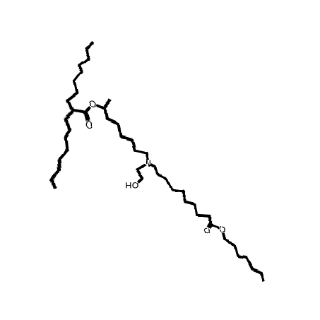 CCCCCCCCC(CCCCCCCC)C(=O)OC(C)CCCCCCN(CCO)CCCCCCCCCC(=O)OCCCCCCC